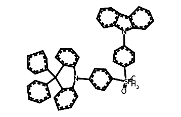 C[SH](=O)(c1ccc(N2c3ccccc3C(c3ccccc3)(c3ccccc3)c3ccccc32)cc1)c1ccc(-n2c3ccccc3c3ccccc32)cc1